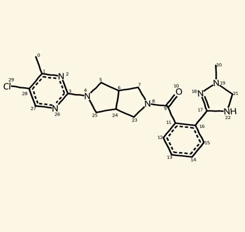 Cc1nc(N2CC3CN(C(=O)c4ccccc4C4=NN(C)CN4)CC3C2)ncc1Cl